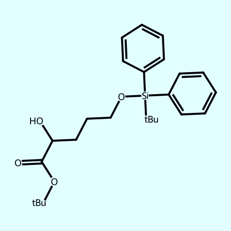 CC(C)(C)OC(=O)C(O)CCCO[Si](c1ccccc1)(c1ccccc1)C(C)(C)C